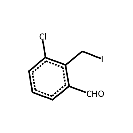 O=Cc1cccc(Cl)c1CI